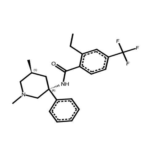 CCc1cc(C(F)(F)F)ccc1C(=O)N[C@@]1(c2ccccc2)C[C@H](C)CN(C)C1